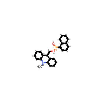 CN1c2ccccc2C(=CO[PH](=O)c2cccc3ccccc23)c2ccccc21